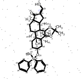 CC1(C)O[C@H]2[C@H](O1)C1[C@H](CC[C@]3(C)C(=O)/C(=C\O)C[C@@H]13)[C@@]1(C)CC[C@H](O[Si](c3ccccc3)(c3ccccc3)C(C)(C)C)C[C@H]21